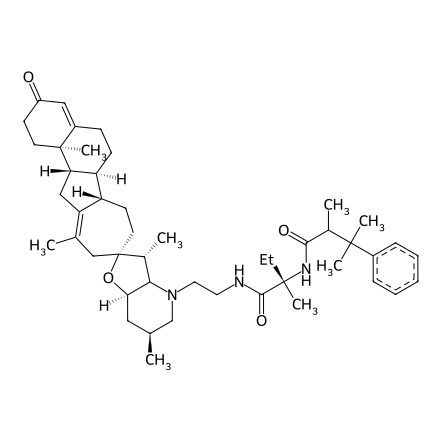 CC[C@](C)(NC(=O)C(C)C(C)(C)c1ccccc1)C(=O)NCCN1C[C@@H](C)C[C@H]2O[C@]3(CC[C@@H]4C(=C(C)C3)C[C@H]3[C@H]4CCC4=CC(=O)CC[C@@]43C)[C@H](C)C21